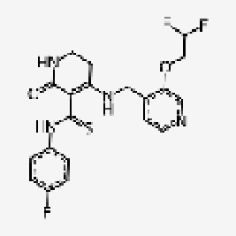 O=C1NCCC(NCc2ccncc2OCC(F)F)=C1C(=S)Nc1ccc(F)cc1